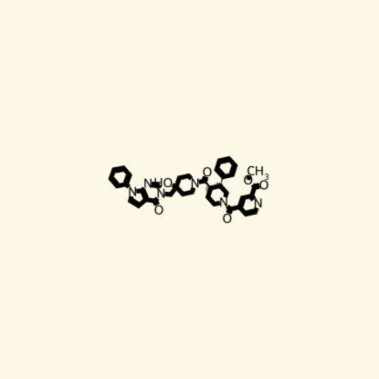 COC(=O)c1cc(C(=O)N2CC[C@@H](C(=O)N3CCC(O)(Cn4cnc5c(ccn5-c5ccccc5)c4=O)CC3)[C@H](c3ccccc3)C2)ccn1